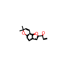 C=CC(=O)c1cc2ccc3c(c2o1)C=CC(C)(C)O3